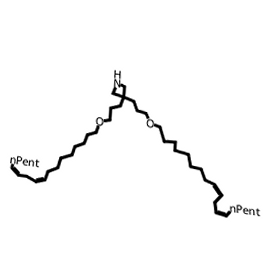 CCCCC/C=C\C/C=C\CCCCCCCCOCCCC1(CCCOCCCCCCCC/C=C\C/C=C\CCCCC)CNC1